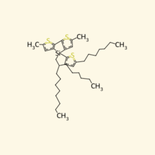 CCCCCCCCC(CCCCCC)C[Si]1(c2ccc(CCCCCCC)s2)c2cc(C)sc2-c2sc(C)cc21